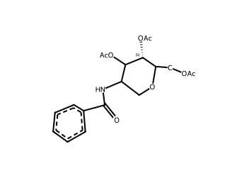 CC(=O)OCC1OCC(NC(=O)c2ccccc2)C(OC(C)=O)[C@@H]1OC(C)=O